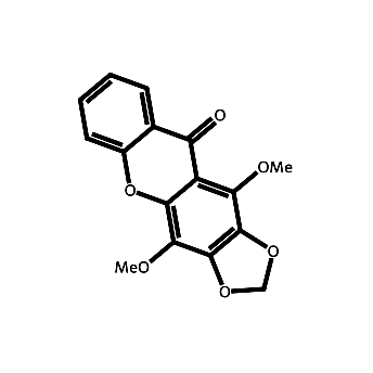 COc1c2c(c(OC)c3c(=O)c4ccccc4oc13)OCO2